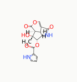 C[C@]1(O)[C@@H](OC(=O)c2ccc[nH]2)[C@H]2NC(=O)C3=COC(=O)[C@H]1[C@@H]32